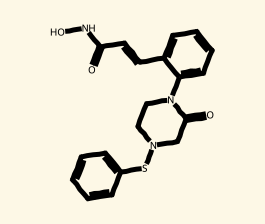 O=C(/C=C/c1ccccc1N1CCN(Sc2ccccc2)CC1=O)NO